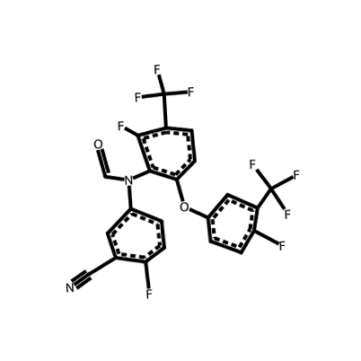 N#Cc1cc(N(C=O)c2c(Oc3ccc(F)c(C(F)(F)F)c3)ccc(C(F)(F)F)c2F)ccc1F